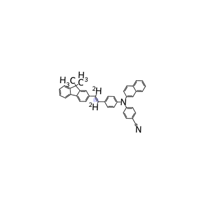 [2H]/C(=C(/[2H])c1ccc2c(c1)C(C)(C)c1ccccc1-2)c1ccc(N(c2ccc(C#N)cc2)c2ccc3ccccc3c2)cc1